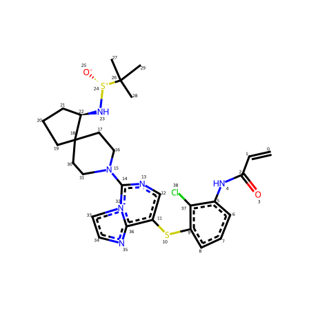 C=CC(=O)Nc1cccc(Sc2cnc(N3CCC4(CCC[C@H]4N[S@+]([O-])C(C)(C)C)CC3)n3ccnc23)c1Cl